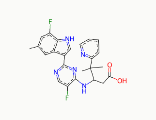 Cc1cc(F)c2[nH]cc(-c3ncc(F)c(NC(CC(=O)O)C(C)(C)c4ccccn4)n3)c2c1